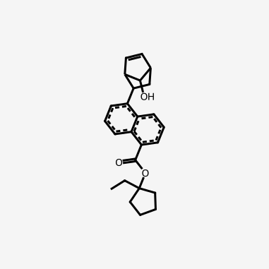 CCC1(OC(=O)c2cccc3c(C4CC5C=CC4C5O)cccc23)CCCC1